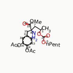 CCCCCOC(=O)O[C@@H](C)CC(N)(Cc1ccc(OC(C)=O)c(OC(C)=O)c1)C(=O)OC